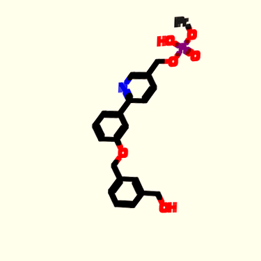 CC(C)OP(=O)(O)OCc1ccc(-c2cccc(OCc3cccc(CO)c3)c2)nc1